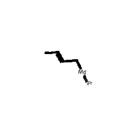 C/C=C/[CH2][Mg][CH](C)C